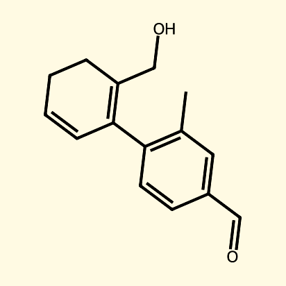 Cc1cc(C=O)ccc1C1=C(CO)CCC=C1